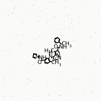 CC1=C2C(Nc3cc(C(=O)Nn4cccc4)ccc3C)=NC=NN2CC1C(=O)N[C@@H](C)c1ccccc1